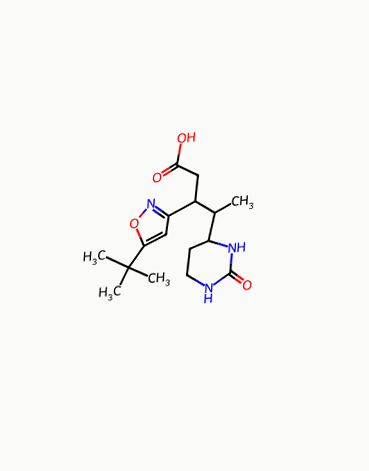 CC(C1CCNC(=O)N1)C(CC(=O)O)c1cc(C(C)(C)C)on1